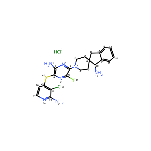 Cl.Nc1nc(N2CCC3(CC2)Cc2ccccc2[C@H]3N)c(F)nc1Sc1ccnc(N)c1Cl